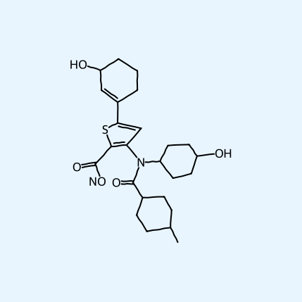 CC1CCC(C(=O)N(c2cc(C3=CC(O)CCC3)sc2C(=O)N=O)C2CCC(O)CC2)CC1